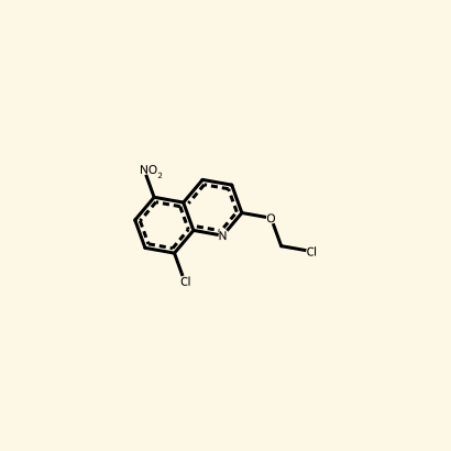 O=[N+]([O-])c1ccc(Cl)c2nc(OCCl)ccc12